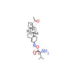 CC(=O)[C@H]1CC[C@H]2[C@@H]3CCC4=C/C(=N/OC(=O)[C@@H](N)C(C)C)CC[C@]4(C)[C@H]3CC[C@]12C